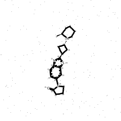 C[C@H]1CCCCN1[C@H]1C[C@H](c2nc3ccc(N4CCCC4=O)cc3s2)C1